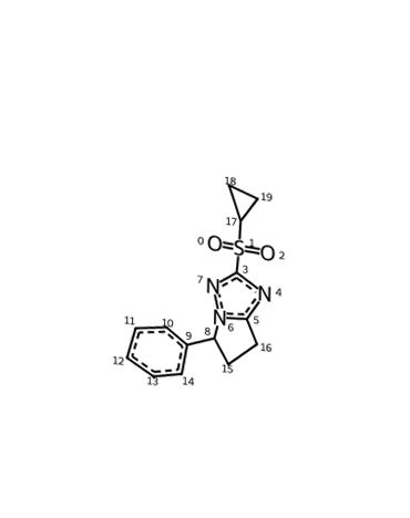 O=S(=O)(c1nc2n(n1)C(c1ccccc1)CC2)C1CC1